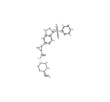 N[C@H]1CC[C@H](CNC2CC2c2ccc3c(c2)CCN3S(=O)(=O)c2ccccc2)CC1